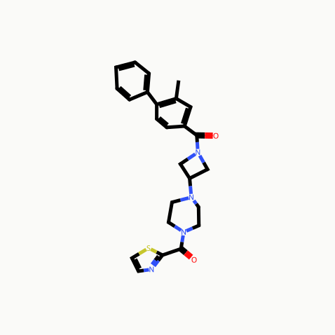 Cc1cc(C(=O)N2CC(N3CCN(C(=O)c4nccs4)CC3)C2)ccc1-c1ccccc1